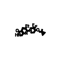 CCc1cc2c(nc1N1CCC(OCC3(C)CC3)C(F)(F)C1)CNC2=O